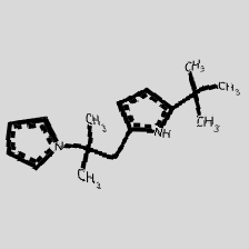 CC(C)(C)c1ccc(CC(C)(C)n2cccc2)[nH]1